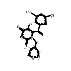 Cc1cc(C#N)cc(C(=O)c2c(C(C)C)c(=O)[nH]c(=O)n2Cc2ccnnc2)c1